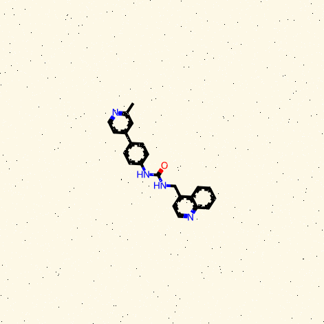 Cc1cc(-c2ccc(NC(=O)NCc3ccnc4ccccc34)cc2)ccn1